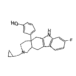 Oc1cccc(C23CCN(CC4CC4)CC2Cc2c([nH]c4cc(F)ccc24)C3)c1